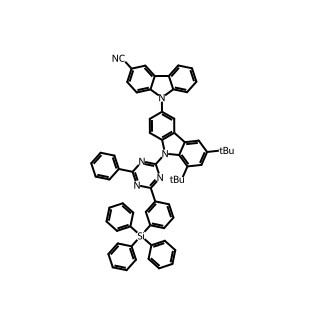 CC(C)(C)c1cc(C(C)(C)C)c2c(c1)c1cc(-n3c4ccccc4c4cc(C#N)ccc43)ccc1n2-c1nc(-c2ccccc2)nc(-c2cccc([Si](c3ccccc3)(c3ccccc3)c3ccccc3)c2)n1